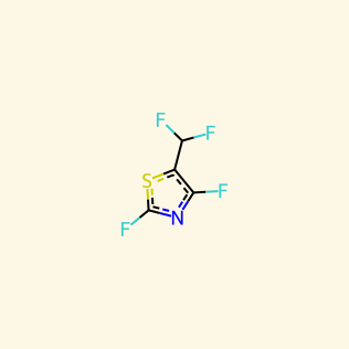 Fc1nc(F)c(C(F)F)s1